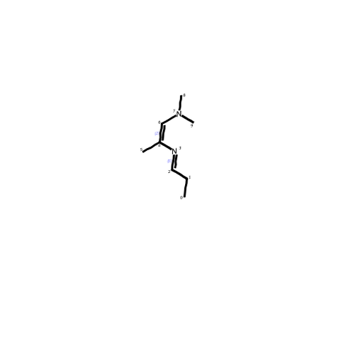 CC/C=N/C(C)=C\N(C)C